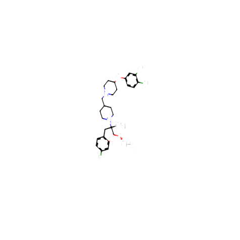 COC(=O)C(C)(Cc1ccc(F)cc1)N1CCC(CN2CCC(Oc3ccc(Cl)c(Cl)c3)CC2)CC1